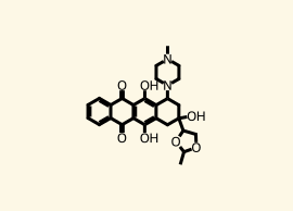 CC1OCC(C2(O)Cc3c(O)c4c(c(O)c3C(N3CCN(C)CC3)C2)C(=O)c2ccccc2C4=O)O1